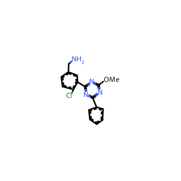 COc1nc(-c2ccccc2)nc(-c2cc(CN)ccc2Cl)n1